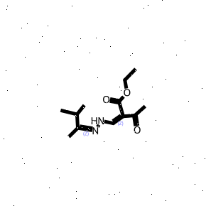 CCOC(=O)/C(=C\N/N=C(/C)C(C)C)C(C)=O